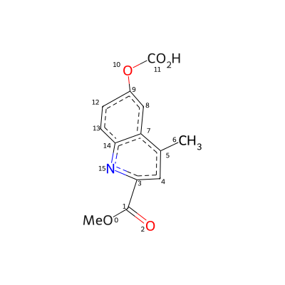 COC(=O)c1cc(C)c2cc(OC(=O)O)ccc2n1